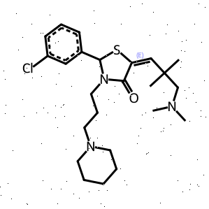 CN(C)CC(C)(C)/C=C1/SC(c2cccc(Cl)c2)N(CCCN2CCCCC2)C1=O